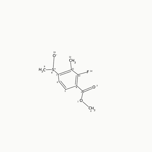 COC(=O)c1ccc([S+](C)[O-])c(C)c1F